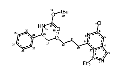 CCn1ncc2cc(Cl)nc(CCCOC[C@@H](NC(=O)OC(C)(C)C)c3ccccc3)c21